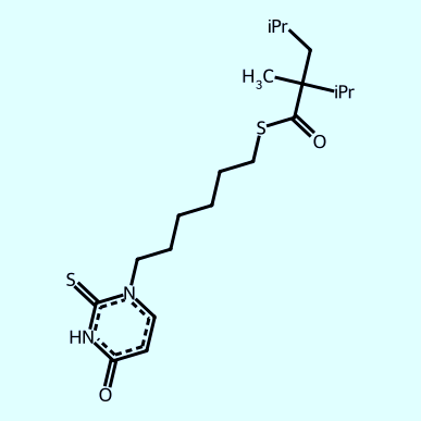 CC(C)CC(C)(C(=O)SCCCCCCn1ccc(=O)[nH]c1=S)C(C)C